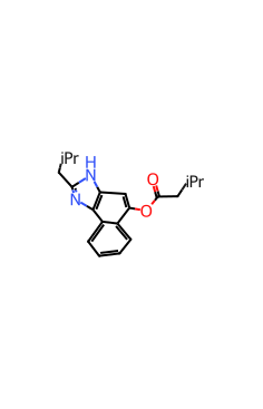 CC(C)CC(=O)Oc1cc2[nH]c(CC(C)C)nc2c2ccccc12